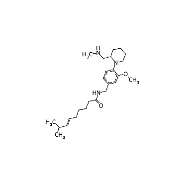 CNCC1CCCCN1c1ccc(CNC(=O)CCCC/C=C/C(C)C)cc1OC